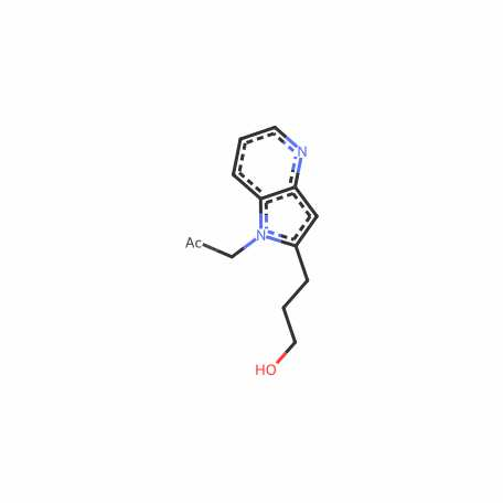 CC(=O)Cn1c(CCCO)cc2ncccc21